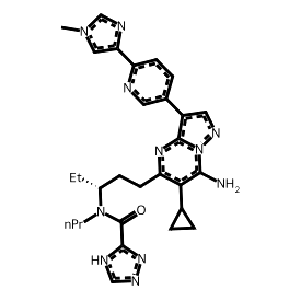 CCCN(C(=O)c1nnc[nH]1)[C@H](CC)CCc1nc2c(-c3ccc(-c4cn(C)cn4)nc3)cnn2c(N)c1C1CC1